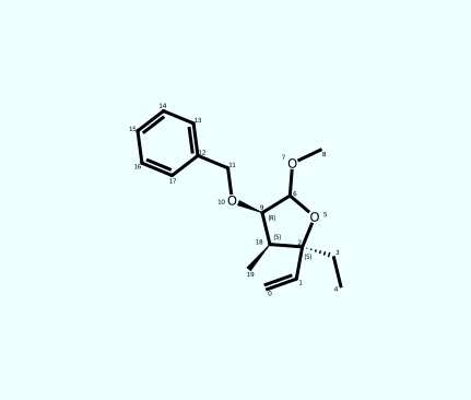 C=C[C@]1(CC)OC(OC)[C@H](OCc2ccccc2)[C@@H]1C